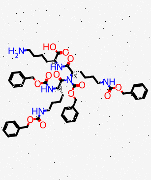 NCCCC[C@H](NC(=O)[C@H](CCCCNC(=O)OCc1ccccc1)N(C(=O)OCc1ccccc1)C(=O)[C@H](CCCCNC(=O)OCc1ccccc1)NC(=O)OCc1ccccc1)C(=O)O